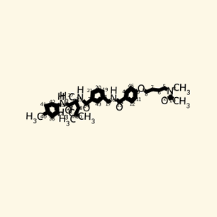 CC(=O)N(C)CCCCOc1ccc(C(=O)NCc2cccc(C(=O)N[C@](C)(CC(C)(C)C)C(=O)Nc3ccc(C)cc3)c2)cc1